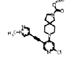 Cn1cc(C#Cc2cnc(Cl)cc2N2CCC3(CCN(C(=O)OC(C)(C)C)C3)CC2)cn1